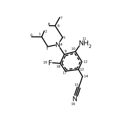 CC(C)CN(CC(C)C)c1c(N)cc(CC#N)cc1F